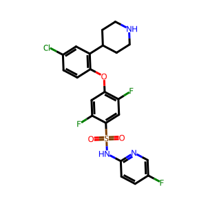 O=S(=O)(Nc1ccc(F)cn1)c1cc(F)c(Oc2ccc(Cl)cc2C2CCNCC2)cc1F